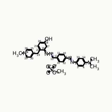 CN(C)c1ccc(/N=N/c2ccc(/C=N/N=C3CC(O)=CC=C3Cc3cc[n+](C)cc3)cc2)cc1.COS(=O)(=O)[O-]